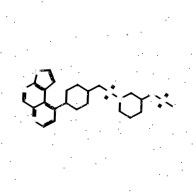 CS(=O)(=O)NC1CCCN(S(=O)(=O)CC2CCC(c3ccnc4cnc5[nH]ccc5c34)CC2)C1